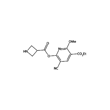 CCOC(=O)c1cc(C#N)c(OC(=O)C2CNC2)nc1OC